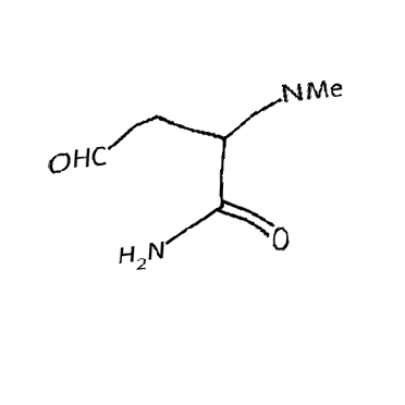 CNC(CC=O)C(N)=O